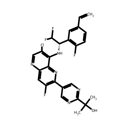 C=Cc1ccc(F)c([C@H](Nc2c(Cl)cnc3cc(F)c(-c4cnc(C(C)(C)O)nc4)nc23)C(F)F)c1